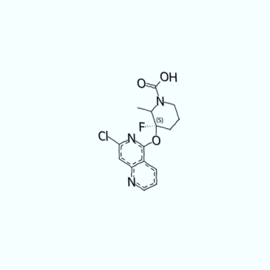 CC1N(C(=O)O)CCC[C@@]1(F)Oc1nc(Cl)cc2ncccc12